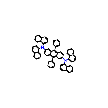 C1=CCCC(c2c3cc(N(c4cccc5ccccc45)c4cccc5ccccc45)ccc3c(-c3ccccc3)c3cc(N(c4cccc5ccccc45)c4cccc5ccccc45)ccc23)=C1